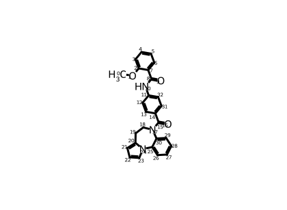 COc1ccccc1C(=O)Nc1ccc(C(=O)N2CCc3cccn3-c3ccccc32)cc1